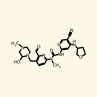 CN1CCN(Cc2ccc(N(C)C(=O)Nc3cc(NC4CCOC4)c(C#N)cn3)nc2C=O)C(O)C1